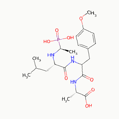 COc1ccc(CC(NC(=O)[C@H](CC(C)C)N[C@H](C)P(=O)(O)O)C(=O)N[C@@H](C)C(=O)O)cc1